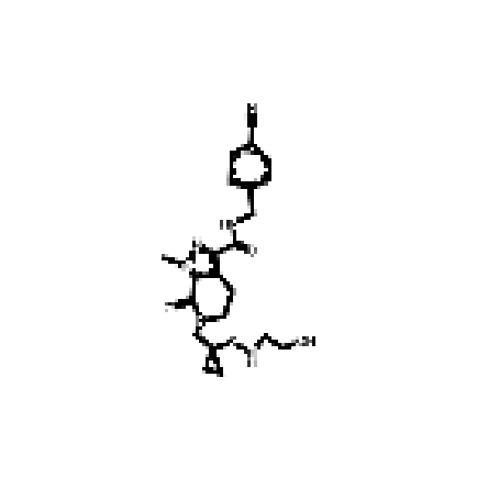 Cn1nc(C(=O)NCc2ccc(C#N)cc2)c2c1C(=O)N(CC1(SNCCO)CC1)CC2